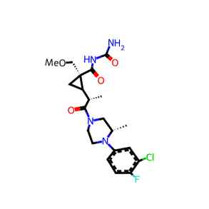 COC[C@@]1(C(=O)NC(N)=O)CC1[C@H](C)C(=O)N1CCN(c2ccc(F)c(Cl)c2)[C@@H](C)C1